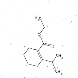 CCOC(=O)C1=C(C(C)C)CCCC1